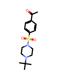 CC(=O)c1ccc(S(=O)(=O)N2CCN(C(C)(C)C)CC2)cc1